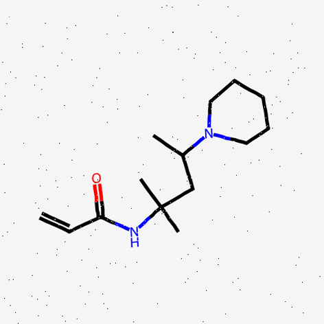 C=CC(=O)NC(C)(C)CC(C)N1CCCCC1